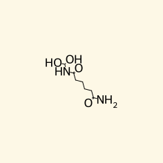 NC(=O)CCCCC(=O)NC(O)O